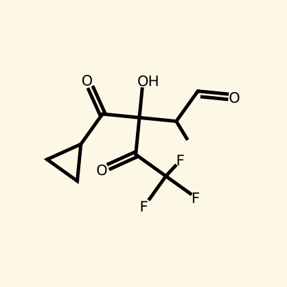 CC(C=O)C(O)(C(=O)C1CC1)C(=O)C(F)(F)F